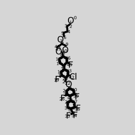 COCCCCCOC1COC(c2ccc(-c3cc(F)c(COc4cc(F)c(-c5ccc(C(F)F)c(F)c5)c(F)c4)c(Cl)c3)c(F)c2)OC1